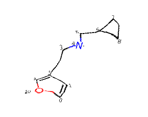 c1cc(C[N]CC2CC2)co1